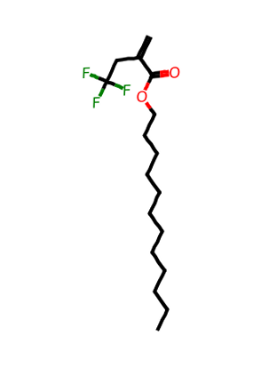 C=C(CC(F)(F)F)C(=O)OCCCCCCCCCCCC